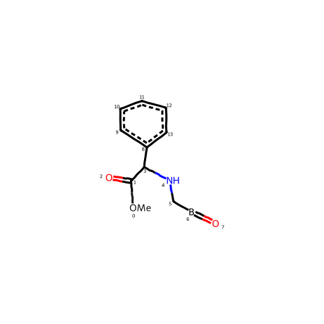 COC(=O)C(NCB=O)c1ccccc1